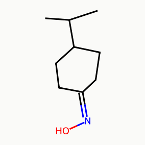 CC(C)C1CCC(=NO)CC1